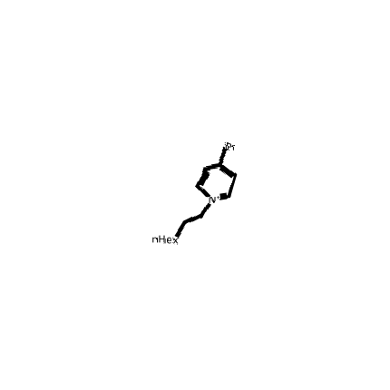 CCCCCCCC[n+]1ccc(C(C)C)cc1